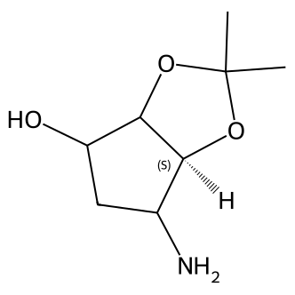 CC1(C)OC2C(O)CC(N)[C@@H]2O1